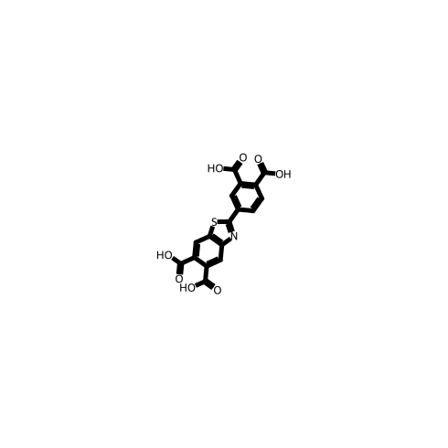 O=C(O)c1ccc(-c2nc3cc(C(=O)O)c(C(=O)O)cc3s2)cc1C(=O)O